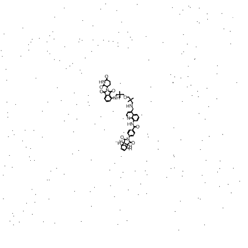 CC(C)(CNCc1ccnc2c(NC(=O)c3ccc(N4C(=O)[C@@H]5[C@H](C4=O)[C@@H]4C=C[C@H]5C4)cc3)cccc12)COCC(C)(C)CNc1cccc2c1C(=O)N(C1CCC(=O)NC1=O)C2=O